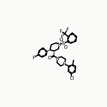 Cc1ccc(Cl)cc1N1CCN(C(=O)[C@@H]2CN(S(=O)(=O)c3ccccc3C(F)(F)F)CC[C@@H]2c2ccc(F)cc2)CC1